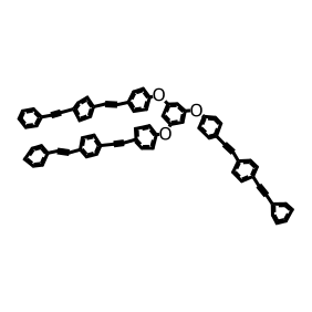 C(#Cc1ccc(C#Cc2ccc(Oc3cc(Oc4ccc(C#Cc5ccc(C#Cc6ccccc6)cc5)cc4)cc(Oc4ccc(C#Cc5ccc(C#Cc6ccccc6)cc5)cc4)c3)cc2)cc1)c1ccccc1